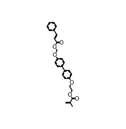 C=C(C)C(=O)OCCOc1ccc(-c2ccc(OCOC(=O)/C=C/c3ccccc3)cc2)cc1